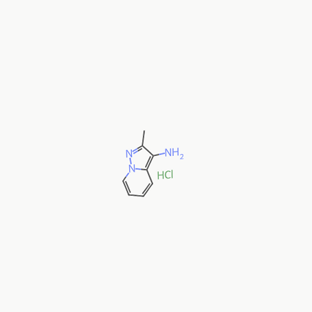 Cc1nn2ccccc2c1N.Cl